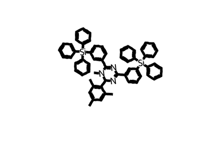 Cc1cc(C)c(C2N=C(c3cccc([Si](c4ccccc4)(c4ccccc4)c4ccccc4)c3)N=C(c3cccc([Si](C4=CC=C=C=C4)(c4ccccc4)c4ccccc4)c3)N2C)c(C)c1